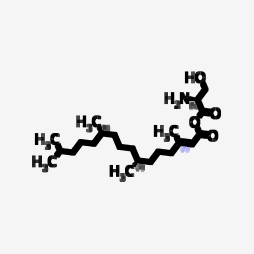 C/C(=C\C(=O)OC(=O)[C@@H](N)CO)CCC[C@H](C)CCC[C@H](C)CCCC(C)C